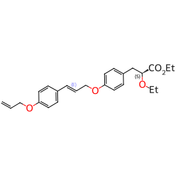 C=CCOc1ccc(/C=C/COc2ccc(C[C@H](OCC)C(=O)OCC)cc2)cc1